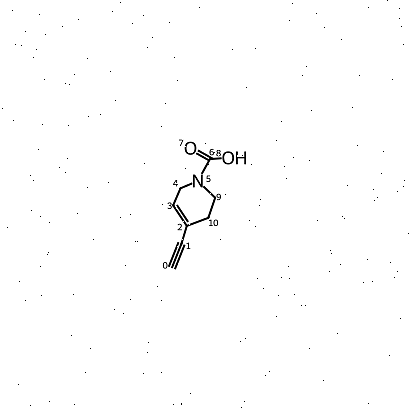 C#CC1=CCN(C(=O)O)CC1